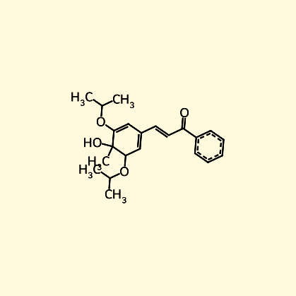 CC(C)OC1=CC(C=CC(=O)c2ccccc2)=CC(OC(C)C)C1(C)O